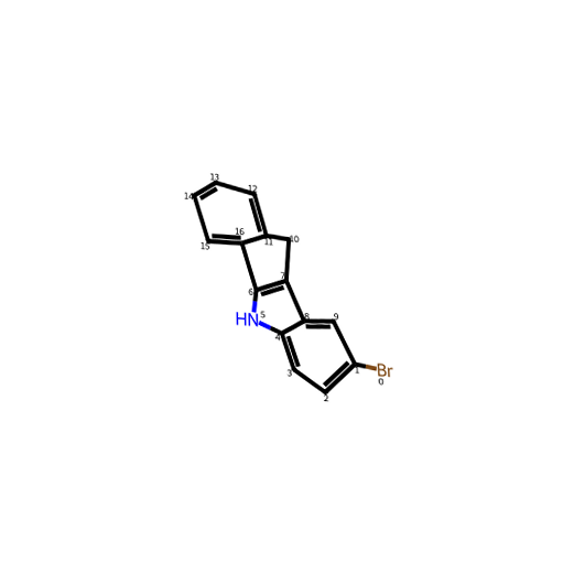 Brc1ccc2[nH]c3c(c2c1)Cc1ccccc1-3